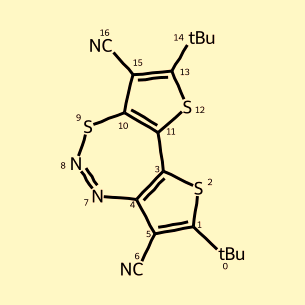 CC(C)(C)c1sc2c(c1C#N)N=NSc1c-2sc(C(C)(C)C)c1C#N